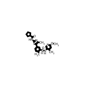 COc1cc(C)c(NS(=O)(=O)c2cc(-c3sc(NC(=O)C4CCCC4)nc3C)ccc2C)cn1